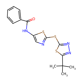 CC(C)(C)c1nnc(Sc2ncc(NC(=O)c3ccccc3)s2)s1